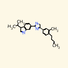 C=CCCc1ccc(C2=NC(c3ccc4c(c3)N=CC4C(C)C)=NC2)cc1C